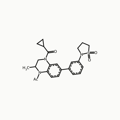 CC(=O)N1c2ccc(-c3cccc(N4CCCS4(=O)=O)c3)cc2N(C(=O)C2CC2)CC1C